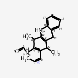 C/C=C\C1=C(NC=O)C(C)C2=C(Cc3ccccc3N2)C1C